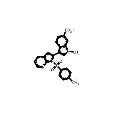 Cc1ccc(S(=O)(=O)n2c(-c3cn(C)c4cc(C(=O)O)ccc34)cc3cccnc32)cc1